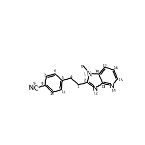 Cn1c(CCc2ccc(C#N)cc2)nc2ncccc21